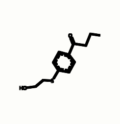 CCCC(=O)c1ccc(SCCO)cc1